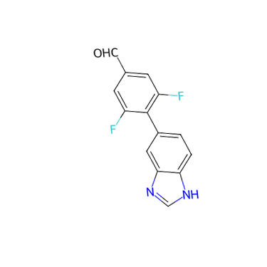 O=Cc1cc(F)c(-c2ccc3[nH]cnc3c2)c(F)c1